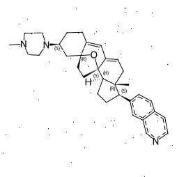 CN1CCN([C@H]2CCC3=CC4=CC[C@]5(C)[C@@H](c6ccc7ccncc7c6)CC[C@H]5[C@@]45CC[C@]3(C2)O5)CC1